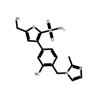 Cc1nccn1Cc1ccc(-c2cc(CC(C)C)sc2S(N)(=O)=O)cc1C#N